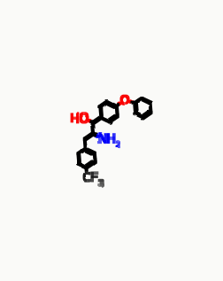 NC(Cc1ccc(C(F)(F)F)cc1)C(O)c1ccc(Oc2ccccc2)cc1